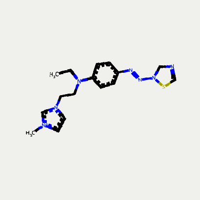 CCN(CCn1cc[n+](C)c1)c1ccc(N=NN2CN=CS2)cc1